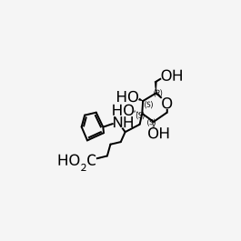 O=C(O)CCCC(C[C@]1(O)[C@@H](O)CO[C@H](CO)[C@@H]1O)Nc1ccccc1